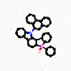 O=P1(c2ccccc2)c2ccccc2-c2c1ccc1c3ccccc3n(-c3cc4ccccc4c4ccccc34)c21